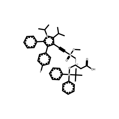 COP(=O)(C#Cc1c(-c2ccc(F)cc2)c(-c2ccccc2)n(C(C)C)c1C(C)C)C[C@H](CC(=O)O)O[Si](c1ccccc1)(c1ccccc1)C(C)(C)C